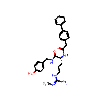 N/C(=N/[N+](=O)[O-])NCCC[C@@H](NC(=O)Cc1ccc(-c2ccccc2)cc1)C(=O)NCc1ccc(O)cc1